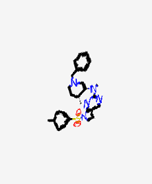 Cc1ccc(S(=O)(=O)n2ccc3cnc(N(C)[C@H]4CN(Cc5ccccc5)CC[C@H]4C)nc32)cc1